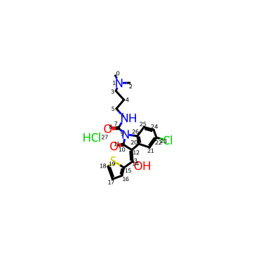 CN(C)CCCNC(=O)N1C(=O)C(=C(O)c2cccs2)c2cc(Cl)ccc21.Cl